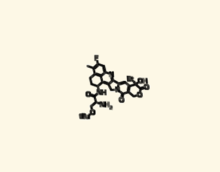 CC[C@@]1(O)C(=O)OCc2c1cc1n(c2=O)Cc2c-1nc1cc(F)c(C)c3c1c2[C@@H](NC(=O)[C@@H](N)COC(C)(C)C)CC3